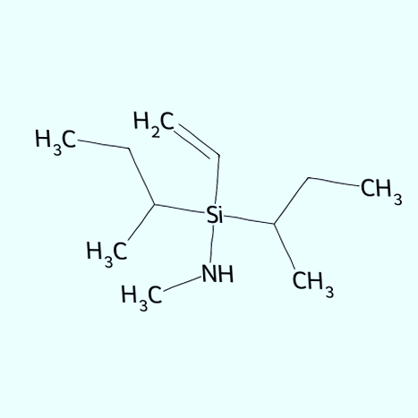 C=C[Si](NC)(C(C)CC)C(C)CC